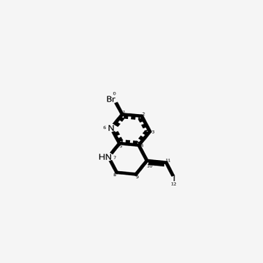 Brc1ccc2c(n1)NCC/C2=C\I